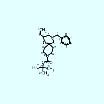 C=CC1CN(Cc2ccccc2)CC2(CCN(C(=O)OC(C)(C)C)CC2)O1